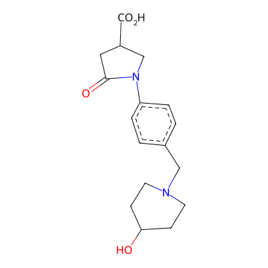 O=C(O)C1CC(=O)N(c2ccc(CN3CCC(O)CC3)cc2)C1